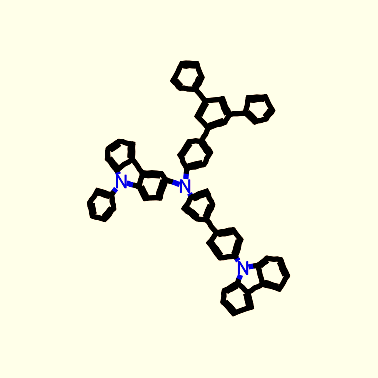 c1ccc(-c2cc(-c3ccccc3)cc(-c3ccc(N(c4ccc(-c5ccc(-n6c7ccccc7c7ccccc76)cc5)cc4)c4ccc5c(c4)c4ccccc4n5-c4ccccc4)cc3)c2)cc1